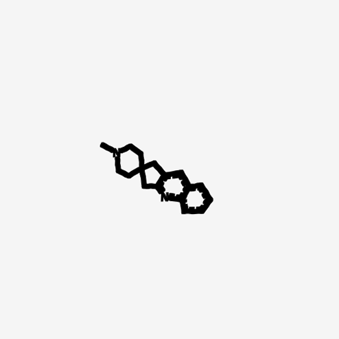 CN1CCC2(CC1)Cc1cc3ccccc3nc1C2